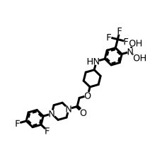 O=C(COC1CCC(Nc2ccc(N(O)O)c(C(F)(F)F)c2)CC1)N1CCN(c2ccc(F)cc2F)CC1